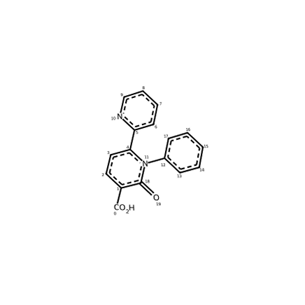 O=C(O)c1ccc(-c2ccccn2)n(-c2ccccc2)c1=O